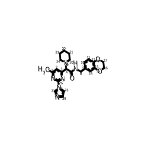 Cc1cc(C(C(=O)NCc2ccc3c(c2)OCCO3)N2CCCCC2)nc(-n2ccnc2)n1